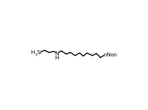 CCCCCCCCCCCCCCCCCCCNCCC[SiH3]